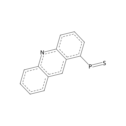 S=Pc1cccc2nc3ccccc3cc12